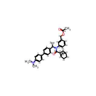 [2H]C(c1ccc(-c2ccc(N(C)C)cc2)cc1)N(C(=O)C1CC2CCC1C2)c1cccc(COC(C)=O)c1